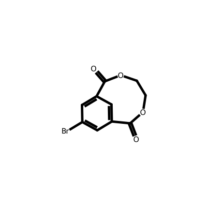 O=C1OCCOC(=O)c2cc(Br)cc1c2